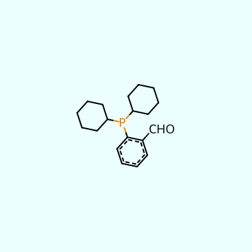 O=Cc1ccccc1P(C1CCCCC1)C1CCCCC1